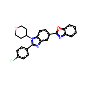 Clc1ccc(-c2nc3cc(-c4nc5ccccc5o4)ccc3n2C2CCOCC2)cc1